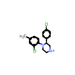 Cc1ccc(N2CCNCC2c2ccc(Cl)cc2)c(Cl)c1